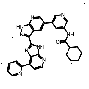 O=C(Nc1cncc(-c2cnc3[nH]nc(-c4nc5c(-c6ccccn6)ccnc5[nH]4)c3c2)c1)C1CCCCC1